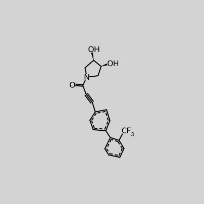 O=C(C#Cc1ccc(-c2ccccc2C(F)(F)F)cc1)N1C[C@@H](O)[C@@H](O)C1